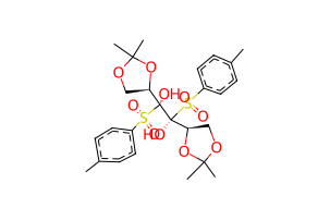 Cc1ccc(S(=O)(=O)[C@@](O)([C@H]2COC(C)(C)O2)[C@](O)([C@H]2COC(C)(C)O2)S(=O)(=O)c2ccc(C)cc2)cc1